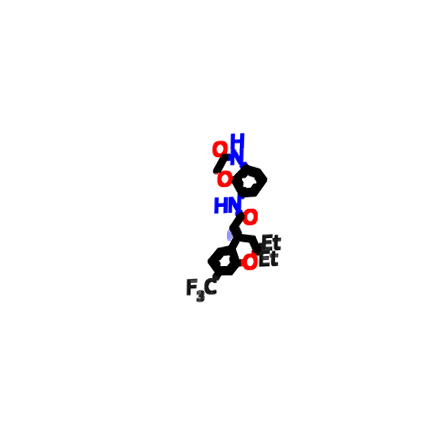 CCC1(CC)C/C(=C\C(=O)Nc2cccc3c2OCC(=O)N3)c2ccc(C(F)(F)F)cc2O1